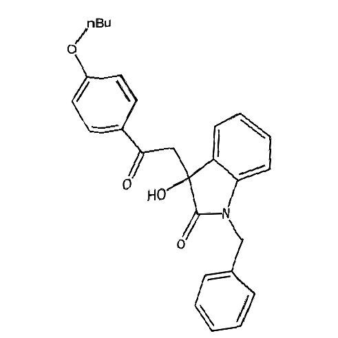 CCCCOc1ccc(C(=O)CC2(O)C(=O)N(Cc3ccccc3)c3ccccc32)cc1